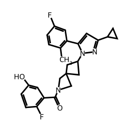 Cc1ccc(F)cc1-c1cc(C2CC2)nn1C1CC2(C1)CN(C(=O)c1cc(O)ccc1F)C2